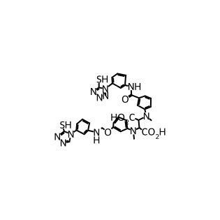 CN(c1cccc(OCNc2cccc(-n3cnnc3S)c2)c1)C(C(=O)O)C(C(=O)O)N(C)c1cccc(C(=O)Nc2cccc(-n3nnnc3S)c2)c1